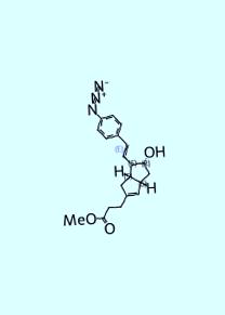 COC(=O)CCC1=C[C@H]2C[C@@H](O)[C@H](/C=C/c3ccc(N=[N+]=[N-])cc3)[C@H]2C1